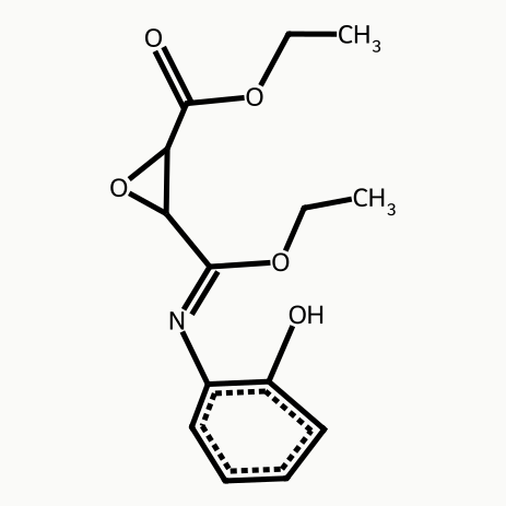 CCOC(=O)C1OC1C(=Nc1ccccc1O)OCC